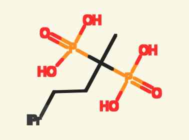 CC(C)CCC(C)(P(=O)(O)O)P(=O)(O)O